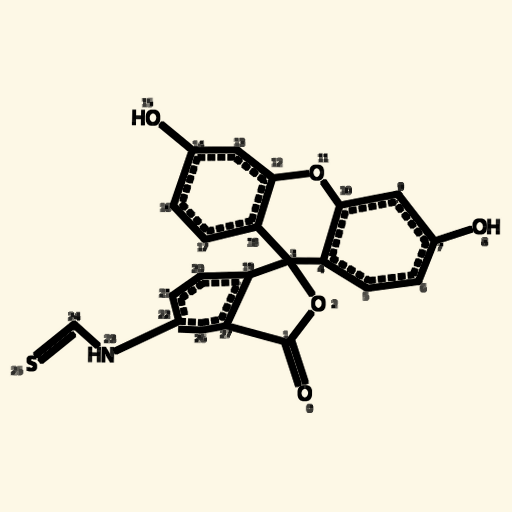 O=C1OC2(c3ccc(O)cc3Oc3cc(O)ccc32)c2ccc(N[C]=S)cc21